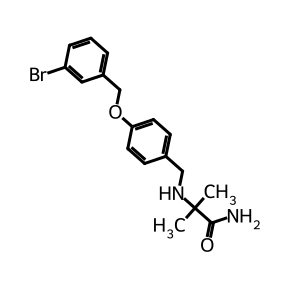 CC(C)(NCc1ccc(OCc2cccc(Br)c2)cc1)C(N)=O